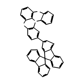 c1ccc2c(c1)Oc1cccc3c1B2c1cc(-c2ccc4c(c2)C2(c5ccccc5-c5ccccc52)c2ccccc2-4)ccc1O3